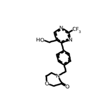 O=C1COCCN1Cc1ccc(-c2nc(C(F)(F)F)ncc2CO)cc1